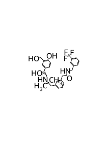 CC(C)(Cc1cccc(CC(=O)NCc2cccc(C(F)(F)F)c2)c1)NC[C@H](O)c1ccc(O)c(CO)c1